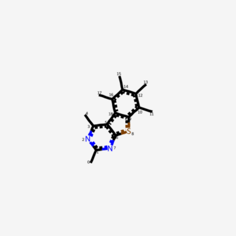 Cc1nc(C)c2c(n1)sc1c(C)c(C)c(C)c(C)c12